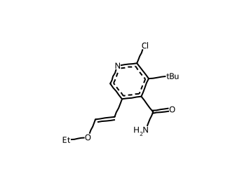 CCO/C=C/c1cnc(Cl)c(C(C)(C)C)c1C(N)=O